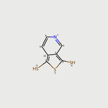 Sc1sc(S)c2cnccc12